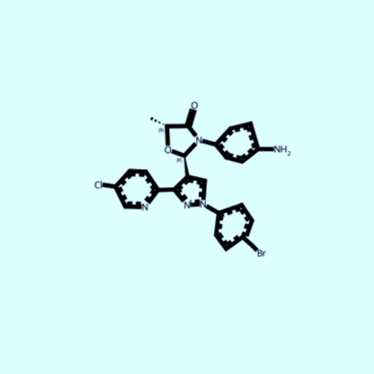 C[C@H]1O[C@H](c2cn(-c3ccc(Br)cc3)nc2-c2ccc(Cl)cn2)N(c2ccc(N)cc2)C1=O